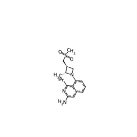 CC(C)c1nc(N)cc2cccc(N3C[C@H](CS(C)(=O)=O)[C@H]3C)c12